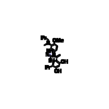 C=C(c1cc(C(C)C)c(O)cc1O)N(/C(S)=N\N)c1ccc(OC)c(N(C)CC(C)C)c1